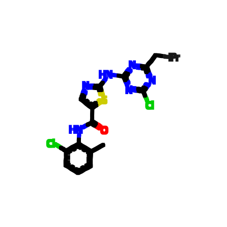 Cc1cccc(Cl)c1NC(=O)c1cnc(Nc2nc(Cl)nc(CC(C)C)n2)s1